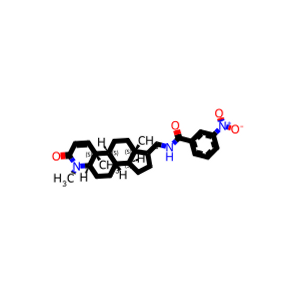 CN1C(=O)C=C[C@]2(C)[C@H]3CC[C@]4(C)C(CNC(=O)c5cccc([N+](=O)[O-])c5)CC[C@H]4[C@@H]3CC[C@@H]12